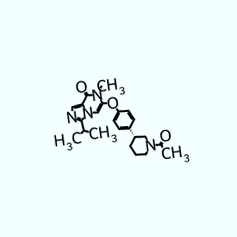 CC(=O)N1CCC[C@H](c2ccc(Oc3cn4c(C(C)C)ncc4c(=O)n3C)cc2)C1